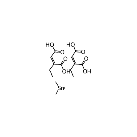 CC/C(=C/C(=O)O)C(=O)O.CC/C(=C/C(=O)O)C(=O)O.[CH3][Sn][CH3]